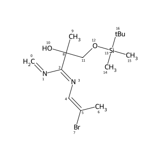 C=N/C(=N\C=C(/C)Br)C(C)(O)CO[Si](C)(C)C(C)(C)C